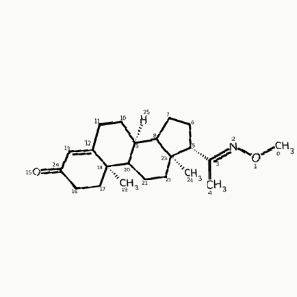 CO/N=C(\C)[C@H]1CCC2[C@@H]3CCC4=CC(=O)CC[C@]4(C)C3CC[C@@]21C